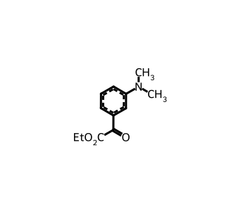 CCOC(=O)C(=O)c1cccc(N(C)C)c1